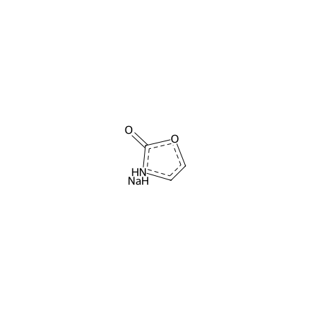 O=c1[nH]cco1.[NaH]